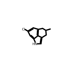 CC1Cc2c[nH]c3cc(Cl)cc(c23)C1